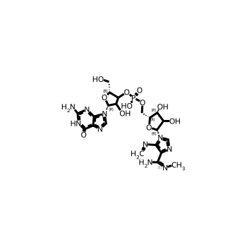 C=Nc1c(/C(N)=N\C)ncn1[C@@H]1O[C@H](COP(=O)(O)OC2C(O)[C@H](n3cnc4c(=O)[nH]c(N)nc43)O[C@@H]2CO)[C@H](O)C1O